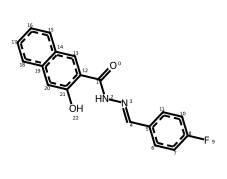 O=C(N/N=C/c1ccc(F)cc1)c1cc2ccccc2cc1O